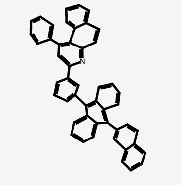 c1ccc(-c2cc(-c3cccc(-c4c5ccccc5c(-c5ccc6ccccc6c5)c5ccccc45)c3)nc3ccc4ccccc4c23)cc1